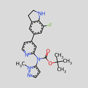 Cn1nccc1N(C(=O)OC(C)(C)C)c1cc(-c2cc(F)c3c(c2)CCN3)ccn1